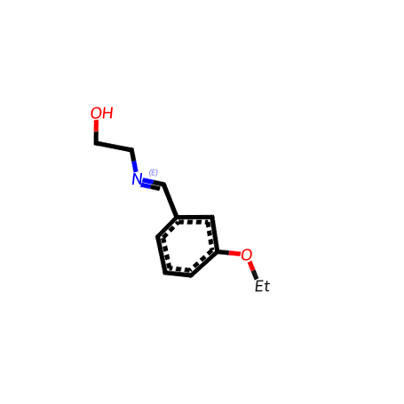 CCOc1cccc(/C=N/CCO)c1